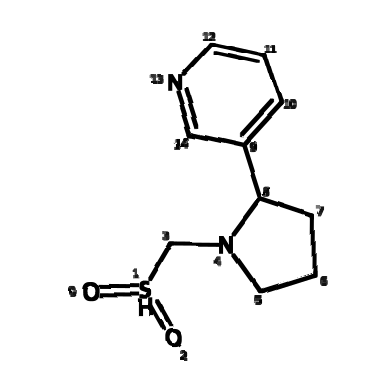 O=[SH](=O)CN1CCCC1c1cccnc1